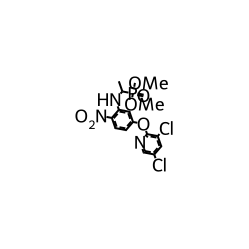 COP(=O)(OC)C(C)Nc1cc(Oc2ncc(Cl)cc2Cl)ccc1[N+](=O)[O-]